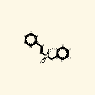 O=S(=O)(C=Cc1ccccc1)Cc1ccccc1